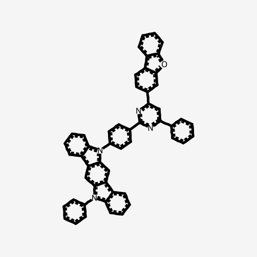 c1ccc(-c2cc(-c3ccc4c(c3)oc3ccccc34)nc(-c3ccc(-n4c5ccccc5c5cc6c(cc54)c4ccccc4n6-c4ccccc4)cc3)n2)cc1